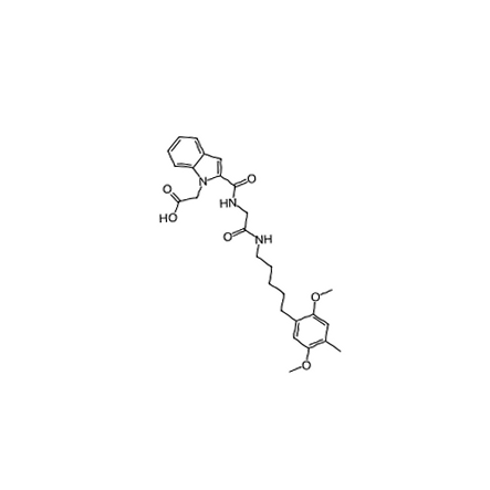 COc1cc(CCCCCNC(=O)CNC(=O)c2cc3ccccc3n2CC(=O)O)c(OC)cc1C